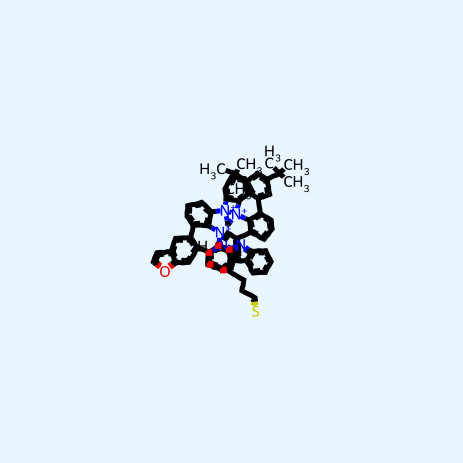 C=C/C(=C\C=C/CCC=S)c1cccc(-c2cc(C(C)(C)C)cc(C(C)(C)C)c2)c1[N+]12c3ccccc3[N+]13c1cccc4c1[N+]1(c5c(ccc6c7ccccc7n(c56)C5=CC=CCN51)-c1cc5occc5cc1-4)C32